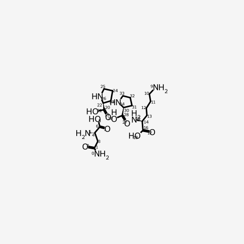 NC(=O)C[C@H](N)C(=O)O.NCCCC[C@H](N)C(=O)O.O=C(O)[C@@H]1CCCN1.O=C(O)[C@@H]1CCCN1